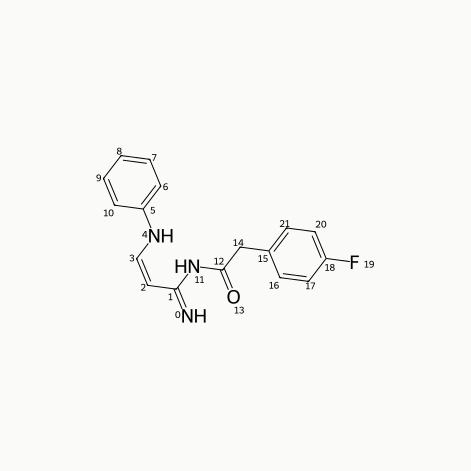 N=C(/C=C\Nc1ccccc1)NC(=O)Cc1ccc(F)cc1